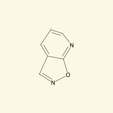 [c]1cnc2oncc2c1